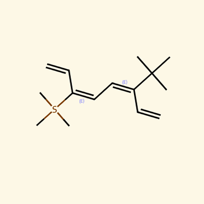 C=C/C(=C\C=C(/C=C)S(C)(C)C)C(C)(C)C